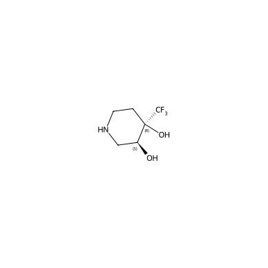 O[C@H]1CNCC[C@]1(O)C(F)(F)F